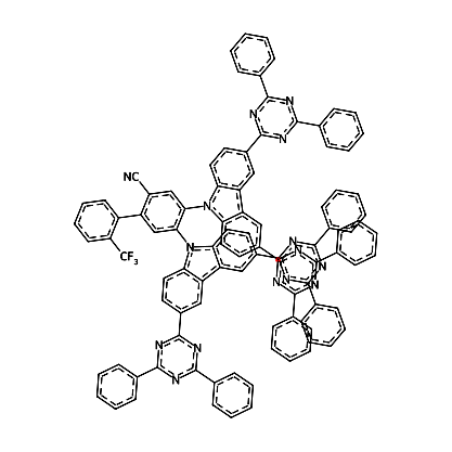 N#Cc1cc(-n2c3ccc(-c4nc(-c5ccccc5)nc(-c5ccccc5)n4)cc3c3cc(-c4nc(-c5ccccc5)nc(-c5ccccc5)n4)ccc32)c(-n2c3ccc(-c4nc(-c5ccccc5)nc(-c5ccccc5)n4)cc3c3cc(-c4nc(-c5ccccc5)nc(-c5ccccc5)n4)ccc32)cc1-c1ccccc1C(F)(F)F